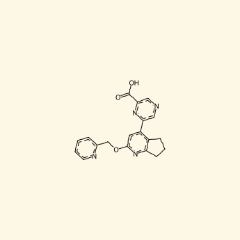 O=C(O)c1cncc(-c2cc(OCc3ccccn3)nc3c2CCC3)n1